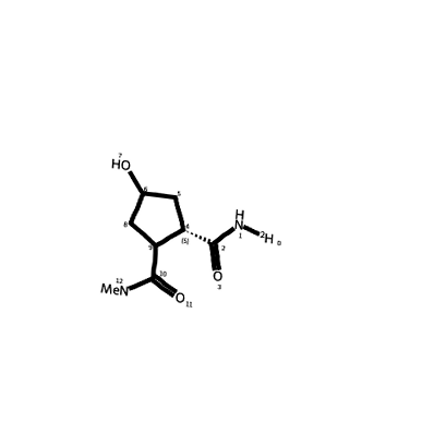 [2H]NC(=O)[C@H]1CC(O)CC1C(=O)NC